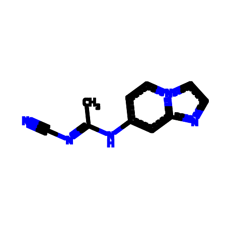 C/C(=N\C#N)Nc1ccn2ccnc2c1